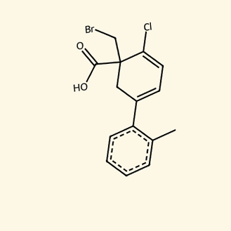 Cc1ccccc1C1=CC=C(Cl)C(CBr)(C(=O)O)C1